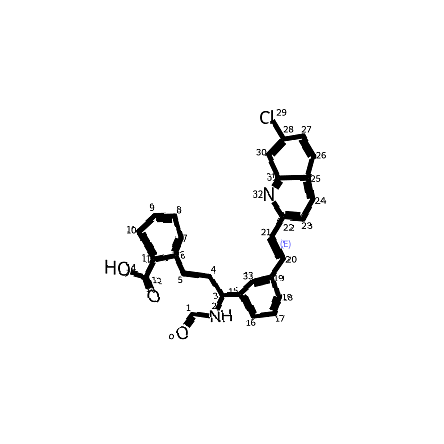 O=CNC(CCc1ccccc1C(=O)O)c1cccc(/C=C/c2ccc3ccc(Cl)cc3n2)c1